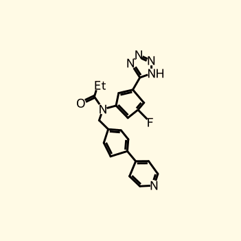 CCC(=O)N(Cc1ccc(-c2ccncc2)cc1)c1cc(F)cc(-c2nnn[nH]2)c1